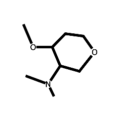 COC1CCOCC1N(C)C